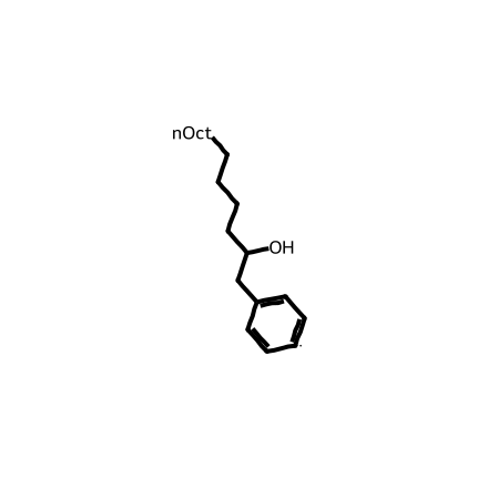 CCCCCCCCCCCCC(O)Cc1cc[c]cc1